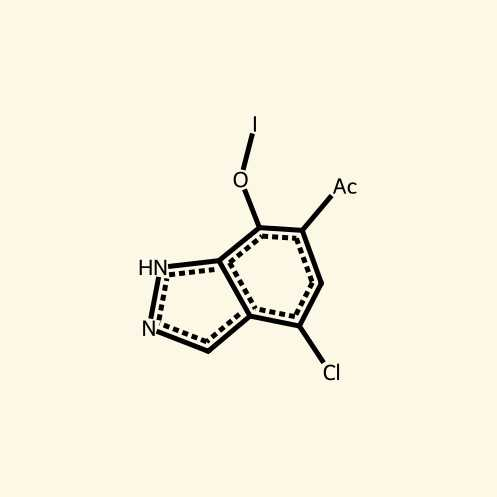 CC(=O)c1cc(Cl)c2cn[nH]c2c1OI